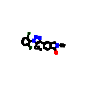 Cc1c(-c2ccc3c(c2)CN(C(C)C)C3=O)nnn1-c1c(F)cccc1F